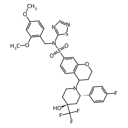 COc1ccc(CN(c2ncns2)S(=O)(=O)c2ccc3c(c2)OCCC3N2CC[C@@](O)(C(F)(F)F)C[C@H]2c2ccc(F)cc2)c(OC)c1